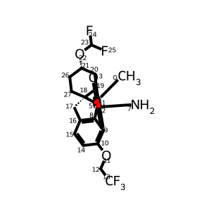 CN1C(=O)C2(N=C1N)c1cc(OCC(F)(F)F)ccc1C[C@]21CC[C@@H](OC(F)F)CC1